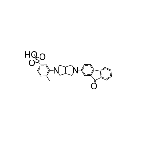 Cc1ccc(S(=O)(=O)O)cc1N1CC2CN(c3ccc4c(c3)C(=O)c3ccccc3-4)CC2C1